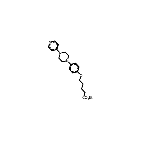 CCOC(=O)CCCCOc1ccc(N2CCN(c3ccncc3)CC2)cc1